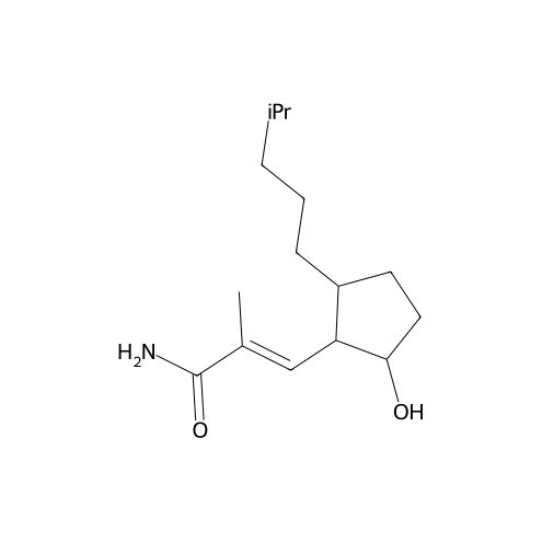 CC(=CC1C(O)CCC1CCCC(C)C)C(N)=O